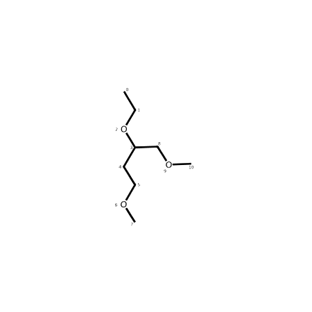 CCOC(CCOC)COC